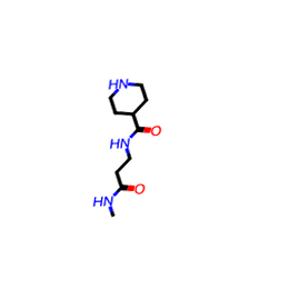 CNC(=O)CCNC(=O)C1CCNCC1